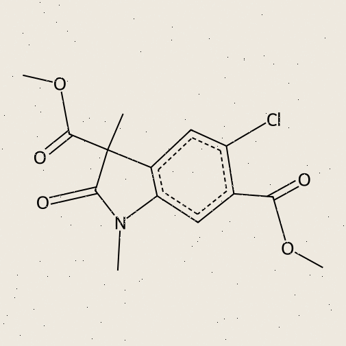 COC(=O)c1cc2c(cc1Cl)C(C)(C(=O)OC)C(=O)N2C